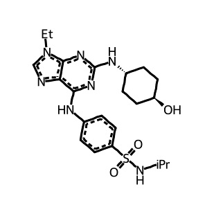 CCn1cnc2c(Nc3ccc(S(=O)(=O)NC(C)C)cc3)nc(N[C@H]3CC[C@H](O)CC3)nc21